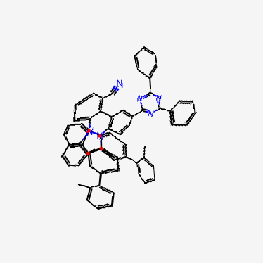 Cc1ccccc1-c1ccc2c(c1)c1ccccc1n2-c1ccc(-c2nc(-c3ccccc3)nc(-c3ccccc3)n2)cc1-c1c(C#N)cccc1-n1c2ccccc2c2cc(-c3ccccc3C)ccc21